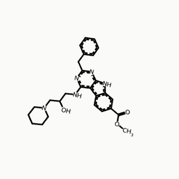 COC(=O)c1ccc2c(c1)[nH]c1nc(Cc3ccccc3)nc(NCC(O)CN3CCCCC3)c12